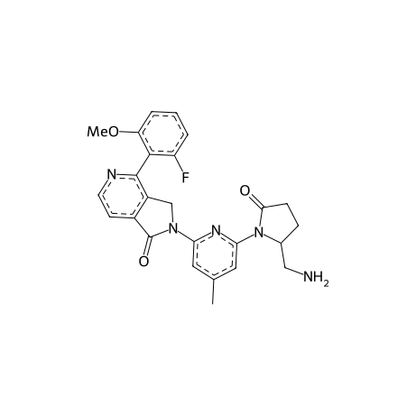 COc1cccc(F)c1-c1nccc2c1CN(c1cc(C)cc(N3C(=O)CCC3CN)n1)C2=O